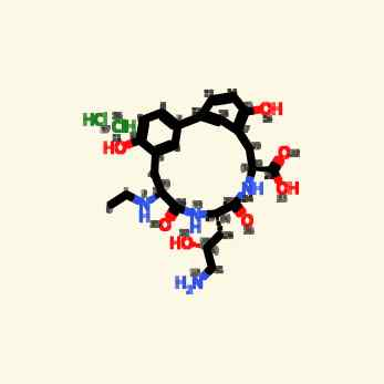 CCN[C@H]1Cc2cc(ccc2O)-c2ccc(O)c(c2)C[C@@H](C(=O)O)NC(=O)[C@H](C[C@@H](O)CN)NC1=O.Cl.Cl